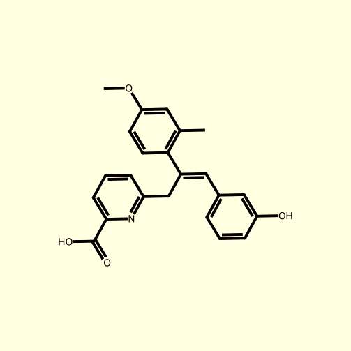 COc1ccc(/C(=C/c2cccc(O)c2)Cc2cccc(C(=O)O)n2)c(C)c1